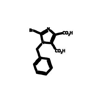 O=C(O)c1nc(Br)n(Cc2ccccc2)c1C(=O)O